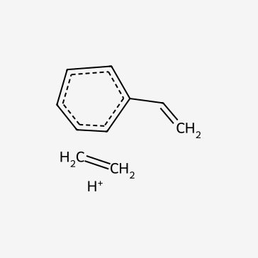 C=C.C=Cc1ccccc1.[H+]